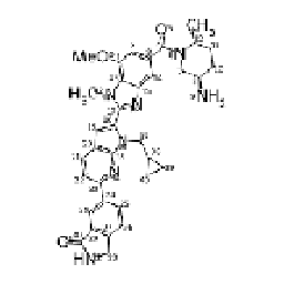 COc1cc(C(=O)N2C[C@H](N)CC[C@@H]2C)cc2nc(-c3cc4ccc(-c5ccc6c(c5)C(=O)NC6)nc4n3CC3CC3)n(C)c12